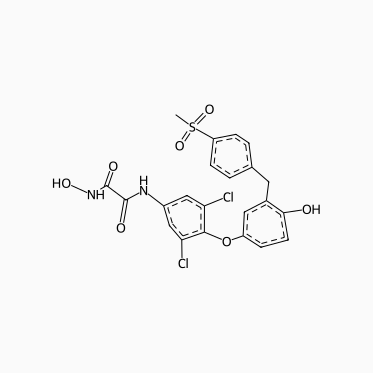 CS(=O)(=O)c1ccc(Cc2cc(Oc3c(Cl)cc(NC(=O)C(=O)NO)cc3Cl)ccc2O)cc1